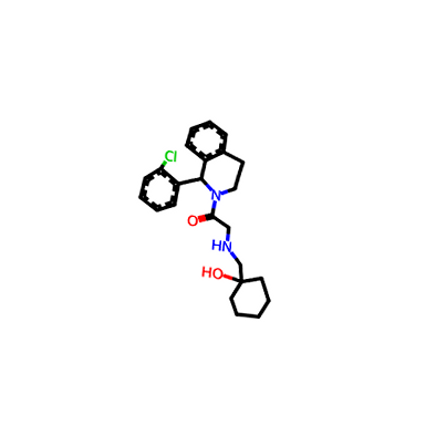 O=C(CNCC1(O)CCCCC1)N1CCc2ccccc2C1c1ccccc1Cl